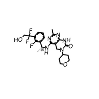 Cc1nc2c(c(N[C@H](C)c3cccc(C(F)(F)CO)c3F)n1)CN(C1CCOCC1)C(=O)N2